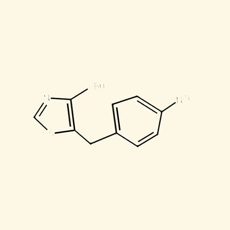 CCCCc1ncsc1Cc1ccc([N+](=O)[O-])cc1